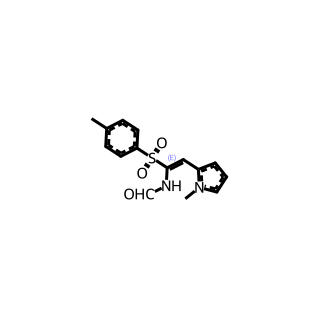 Cc1ccc(S(=O)(=O)/C(=C/c2cccn2C)NC=O)cc1